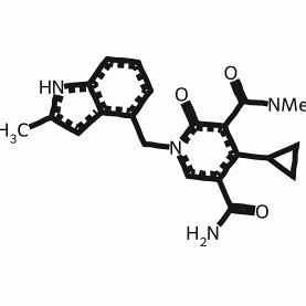 CNC(=O)c1c(C2CC2)c(C(N)=O)cn(Cc2cccc3[nH]c(C)cc23)c1=O